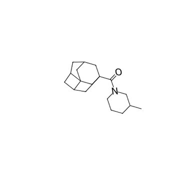 CC1CCCN(C(=O)C23CC4CC5CC(C2)C5(C4)C3)C1